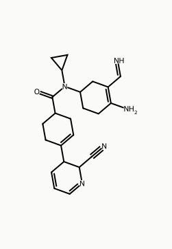 N#CC1N=CC=CC1C1=CCC(C(=O)N(C2CC2)C2CCC(N)=C(C=N)C2)CC1